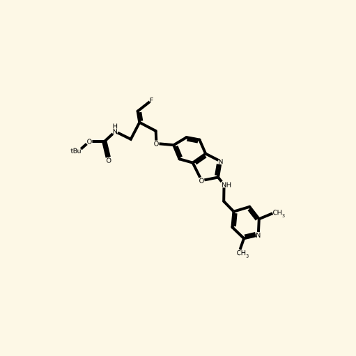 Cc1cc(CNc2nc3ccc(OC/C(=C\F)CNC(=O)OC(C)(C)C)cc3o2)cc(C)n1